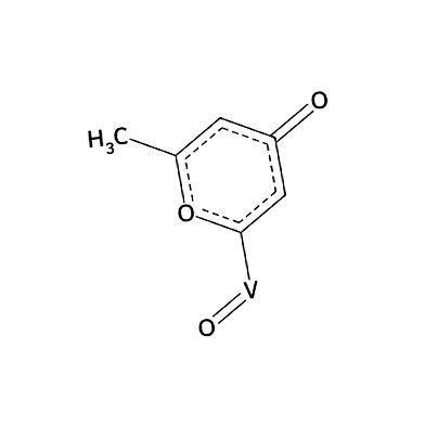 Cc1cc(=O)c[c]([V]=[O])o1